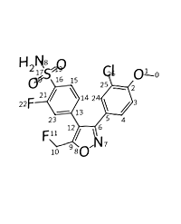 COc1ccc(-c2noc(CF)c2-c2ccc(S(N)(=O)=O)c(F)c2)cc1Cl